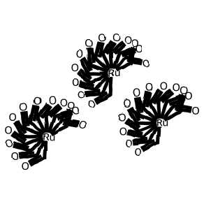 O=[CH][Ru]([CH]=O)([CH]=O)([CH]=O)([CH]=O)([CH]=O)([CH]=O)([CH]=O)([CH]=O)([CH]=O)([CH]=O)[CH]=O.O=[CH][Ru]([CH]=O)([CH]=O)([CH]=O)([CH]=O)([CH]=O)([CH]=O)([CH]=O)([CH]=O)([CH]=O)([CH]=O)[CH]=O.O=[CH][Ru]([CH]=O)([CH]=O)([CH]=O)([CH]=O)([CH]=O)([CH]=O)([CH]=O)([CH]=O)([CH]=O)([CH]=O)[CH]=O